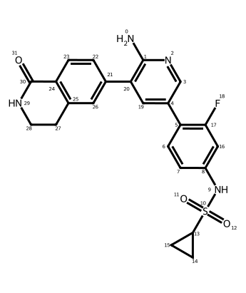 Nc1ncc(-c2ccc(NS(=O)(=O)C3CC3)cc2F)cc1-c1ccc2c(c1)CCNC2=O